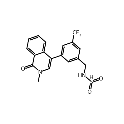 Cn1cc(-c2cc(CN[SH](=O)=O)cc(C(F)(F)F)c2)c2ccccc2c1=O